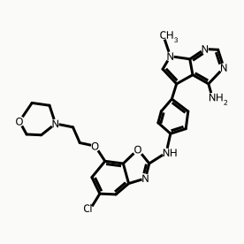 Cn1cc(-c2ccc(Nc3nc4cc(Cl)cc(OCCN5CCOCC5)c4o3)cc2)c2c(N)ncnc21